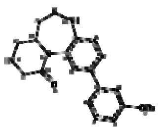 CC(C)COc1cccc(-c2ccc3c(c2)N2C(=O)CNCC2CCN3)c1